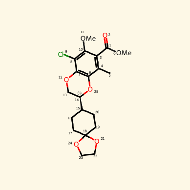 COC(=O)c1c(C)c2c(c(Cl)c1OC)OC[C@H](C1CCC3(CC1)OCCO3)O2